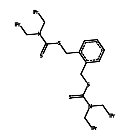 CC(C)CN(CC(C)C)C(=S)SCc1ccccc1CSC(=S)N(CC(C)C)CC(C)C